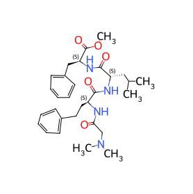 COC(=O)[C@H](Cc1ccccc1)NC(=O)[C@H](CC(C)C)NC(=O)[C@H](CCc1ccccc1)NC(=O)CN(C)C